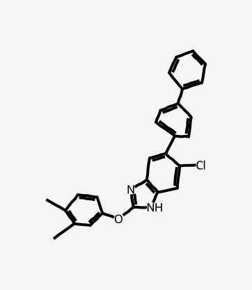 Cc1ccc(Oc2nc3cc(-c4ccc(-c5ccccc5)cc4)c(Cl)cc3[nH]2)cc1C